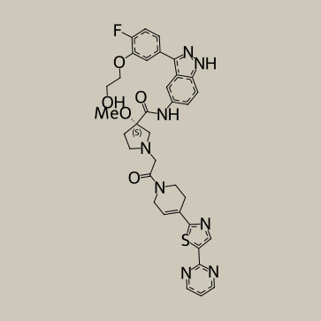 CO[C@@]1(C(=O)Nc2ccc3[nH]nc(-c4ccc(F)c(OCCO)c4)c3c2)CCN(CC(=O)N2CC=C(c3ncc(-c4ncccn4)s3)CC2)C1